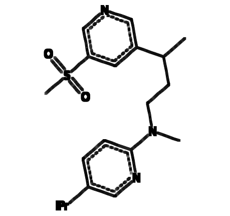 CC(C)c1ccc(N(C)CCC(C)c2cncc(S(C)(=O)=O)c2)nc1